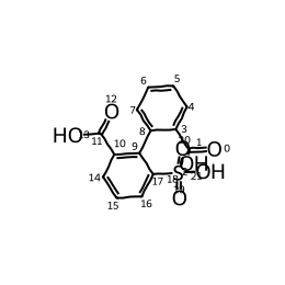 O=C(O)c1ccccc1-c1c(C(=O)O)cccc1S(=O)(=O)O